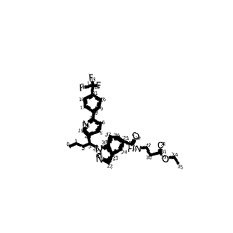 CCCC(c1ccc(-c2ccc(C(F)(F)F)cc2)nc1)n1ncc2cc(C(=O)NCCC(=O)OCC)ccc21